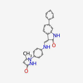 Cc1cc(=O)[nH]n1-c1ccc(NC=C2C(=O)Nc3cc(-c4ccccc4)ccc32)cc1